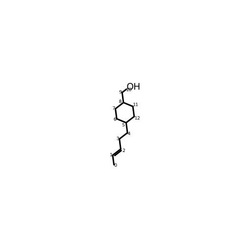 CC=CCCC1CCC(CO)CC1